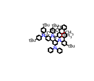 Cc1cc(C(C)(C)C)ccc1N1B2c3cc4c(cc3N(c3ccc(C(C)(C)C)cc3-c3ccccc3)c3cc(N(c5ccccc5)c5ccccc5)cc(c32)-c2ccc(N(c3ccc(C(C)(C)C)cc3)c3ccc(C(C)(C)C)cc3)cc21)C(C)(C)c1ccccc1C4(C)C